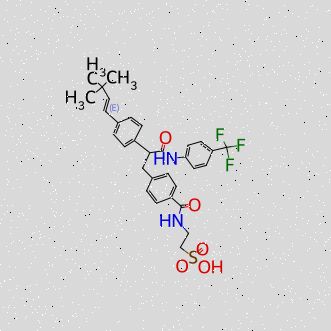 CC(C)(C)/C=C/c1ccc(C(Cc2ccc(C(=O)NCCS(=O)(=O)O)cc2)C(=O)Nc2ccc(C(F)(F)F)cc2)cc1